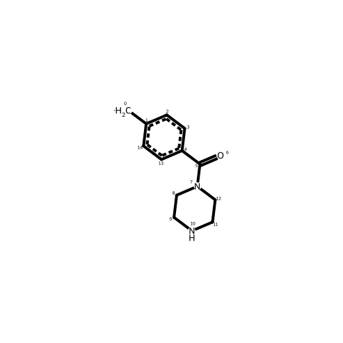 [CH2]c1ccc(C(=O)N2CCNCC2)cc1